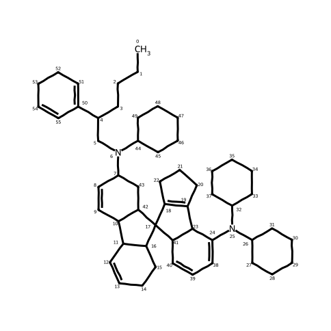 CCCCC(CN(C1C=CC2C3C=CCCC3C3(C4=C(CCC4)C4C(N(C5CCCCC5)C5CCCCC5)=CC=CC43)C2C1)C1CCCCC1)C1=CCCC=C1